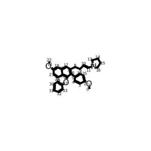 COc1ccc(-c2c(CCC=CN3CCCC3)cc3cc(OC)ccc3c2Oc2ccccc2)cc1